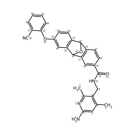 Cc1cc(N)nc(C)c1CNC(=O)c1ccc2c(c1)C1OC2c2ccc(Oc3ccccc3C#N)cc21